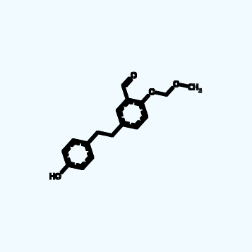 COCOc1ccc(CCc2ccc(O)cc2)cc1C=O